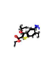 CCOC(=O)c1sc2cc(CC)c(N)cc2c1OC(C)C